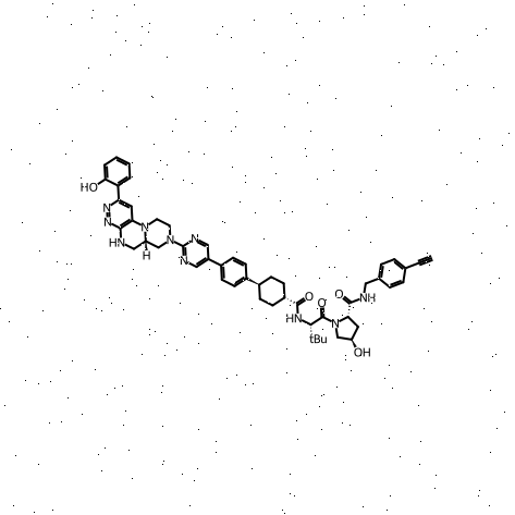 C#Cc1ccc(CNC(=O)[C@@H]2C[C@@H](O)CN2C(=O)[C@@H](NC(=O)[C@H]2CC[C@H](c3ccc(-c4cnc(N5CCN6c7cc(-c8ccccc8O)nnc7NC[C@H]6C5)nc4)cc3)CC2)C(C)(C)C)cc1